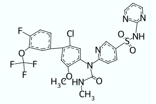 CNC(=O)N(c1ccc(S(=O)(=O)Nc2ncccn2)cn1)c1cc(Cl)c(-c2ccc(F)c(OC(F)(F)F)c2)cc1OC